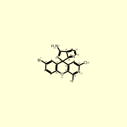 NC1=NC2(c3cc(Br)ccc3Oc3c2cc(Cl)nc3F)c2ncccc21